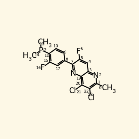 Cc1nc2cc(F)c(-c3ccc(P(C)C)c(F)c3)nc2c(Cl)c1Cl